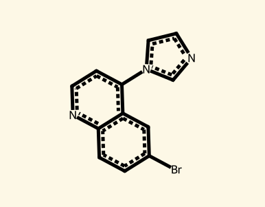 Brc1ccc2nccc(-n3ccnc3)c2c1